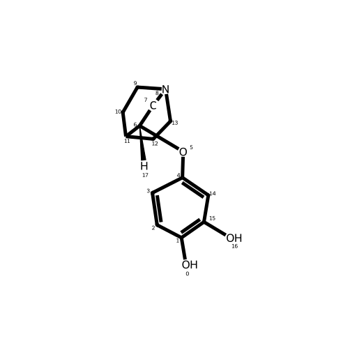 Oc1ccc(O[C@H]2CN3CCC2CC3)cc1O